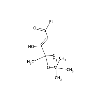 CCC(=O)/C=C(\O)C(C)(C)O[Si](C)(C)C